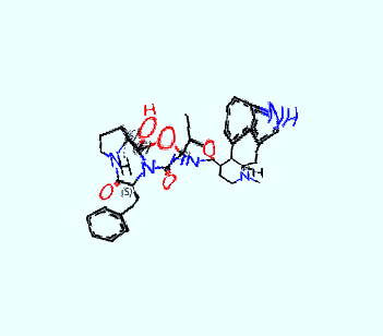 CC(C)[C@@]1(NC(=O)C2CCN(C)[C@H]3Cc4c[nH]c5cccc(c45)C23)O[C@@]2(O)[C@@H]3CCCN3C(=O)[C@H](Cc3ccccc3)N2C1=O